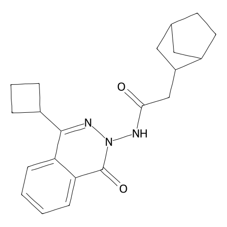 O=C(CC1CC2CCC1C2)Nn1nc(C2CCC2)c2ccccc2c1=O